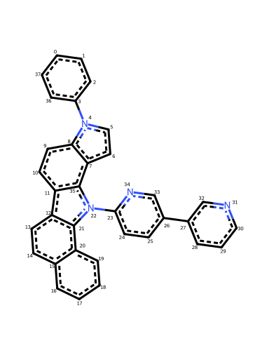 c1ccc(-n2ccc3c2ccc2c4ccc5ccccc5c4n(-c4ccc(-c5cccnc5)cn4)c23)cc1